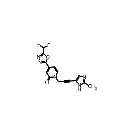 Cc1ncc(C#CCn2ccc(-c3nnc(C(F)F)o3)cc2=O)[nH]1